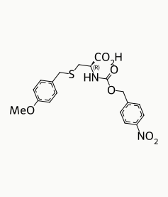 COc1ccc(CSC[C@H](NC(=O)OCc2ccc([N+](=O)[O-])cc2)C(=O)O)cc1